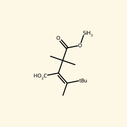 CC(=C(C(=O)O)C(C)(C)C(=O)O[SiH3])C(C)(C)C